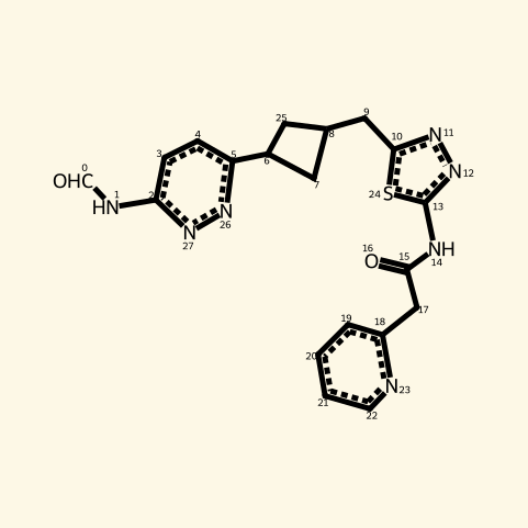 O=CNc1ccc(C2CC(Cc3nnc(NC(=O)Cc4ccccn4)s3)C2)nn1